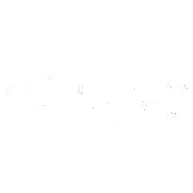 CSC(=NC#N)N1CCC(CNc2ccc(Br)cc2)CC1